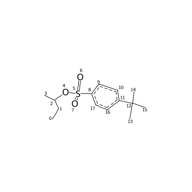 CCC(C)OS(=O)(=O)c1ccc(C(C)(C)C)cc1